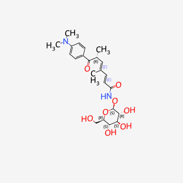 CC(/C=C/C(=O)NO[C@@H]1O[C@H](CO)[C@@H](O)[C@H](O)[C@H]1O)=C\[C@@H](C)C(=O)c1ccc(N(C)C)cc1